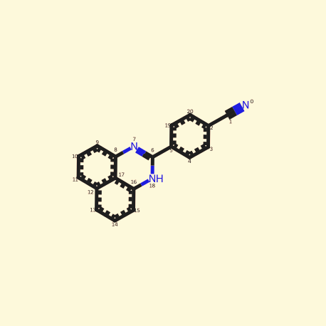 N#Cc1ccc(C2=Nc3cccc4cccc(c34)N2)cc1